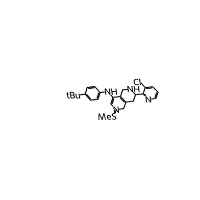 CSN1C=C(Nc2ccc(C(C)(C)C)cc2)C2=C(CC(c3ncccc3Cl)NC2)C1